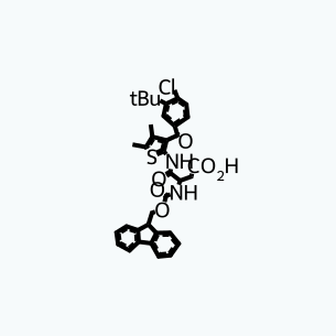 Cc1sc(NC(=O)C(CC(=O)O)NC(=O)OCC2c3ccccc3-c3ccccc32)c(C(=O)c2ccc(Cl)c(C(C)(C)C)c2)c1C